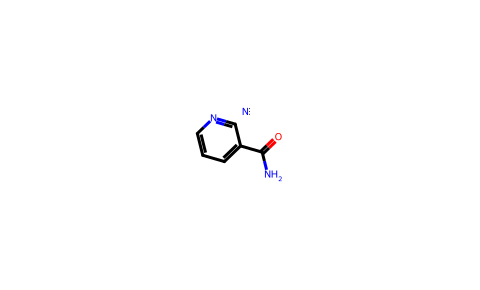 NC(=O)c1cccnc1.[N]